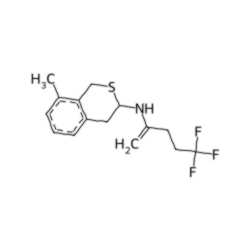 C=C(CCC(F)(F)F)NC1Cc2cccc(C)c2CS1